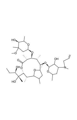 C=CCN(C)C1CC(C)O[C@@H](O[C@@H]2[C@@H](C)[C@H](O[C@H]3CC(C)(OC)[C@@H](O)C(C)O3)[C@@H](C)C(=O)O[C@@H]([C@](C)(O)[C@H](O)CC)[C@@H](C)C3O[C@]2(C)CC3C)C1O